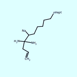 C=CCC(N)(N)[CH]([Na])CCCCCCCCCCCC